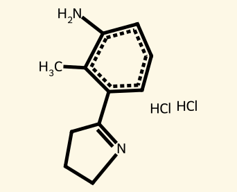 Cc1c(N)cccc1C1=NCCC1.Cl.Cl